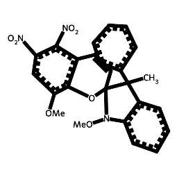 COc1cc([N+](=O)[O-])c([N+](=O)[O-])c2c1OC1(C=C2)N(OC)c2ccccc2C1(C)c1ccccc1